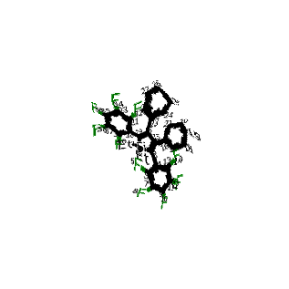 CC[Si]1(CC)C(c2c(F)c(F)c(F)c(F)c2F)=C(c2ccccc2)C(c2ccccc2)=C1c1c(F)c(F)c(F)c(F)c1F